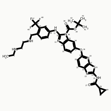 CCNCCNCc1ccc(Nc2nc3ccc(Oc4ccc5nc(NC(=O)C6CC6)sc5n4)cc3n2C(=O)OC(C)(C)C)cc1C(F)(F)F